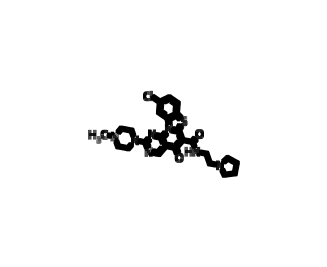 CN1CCN(c2ncc3c(=O)c(C(=O)NCCN4CCCC4)c4sc5ccc(Cl)cc5n4c3n2)CC1